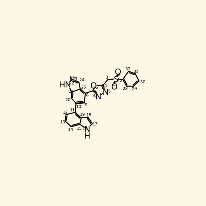 O=S(=O)(Cc1nnc(-c2cc(-c3cccc4[nH]ccc34)cc3[nH]ncc23)o1)c1ccccc1